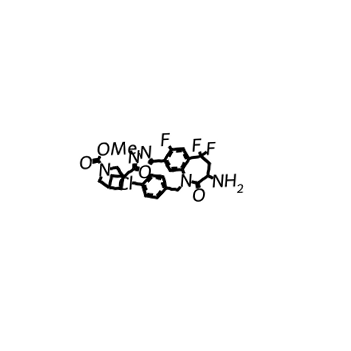 COC(=O)N1CC2CC(c3nnc(-c4cc5c(cc4F)C(F)(F)CC(N)C(=O)N5Cc4ccc(Cl)cc4)o3)(C2)C1